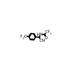 N#CC(NC(=O)C(F)(F)F)c1ccc(C(F)(F)F)cc1